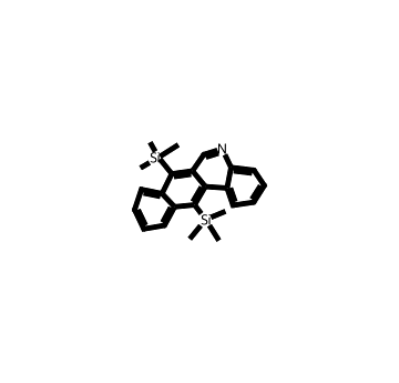 C[Si](C)(C)c1c2ccccc2c([Si](C)(C)C)c2c1cnc1ccccc12